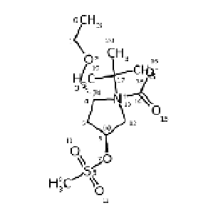 CCOC[C@H]1C[C@H](OS(C)(=O)=O)C[N+]1(C(=O)[O-])C(C)(C)C